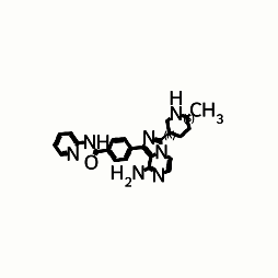 C[C@H]1CC[C@@H](c2nc(-c3ccc(C(=O)Nc4ccccn4)cc3)c3c(N)nccn23)CN1